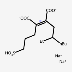 CCCCC(CC)C/C(C(=O)[O-])=C(\CCCS(=O)(=O)O)C(=O)[O-].[Na+].[Na+]